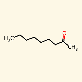 CCCCCC[CH]C(C)=O